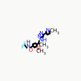 COc1cc(C(=O)NCC(F)F)ccc1[C@H](C)CNc1cc(-c2ccc(C)nc2)ncn1